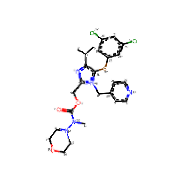 CC(C)c1nc(COC(=O)N(C)N2CCOCC2)n(Cc2ccncc2)c1Sc1cc(Cl)cc(Cl)c1